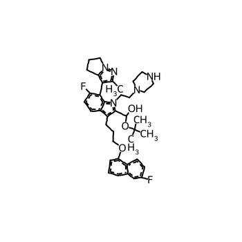 Cc1nn2c(c1-c1c(F)ccc3c(CCCOc4cccc5cc(F)ccc45)c(C(O)OC(C)(C)C)n(CCN4CCNCC4)c13)CCC2